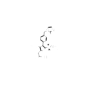 Cc1c(CC(C)C)sc(S(N)(=O)=O)c1-c1ccc(Cn2ccnc2Cl)cc1